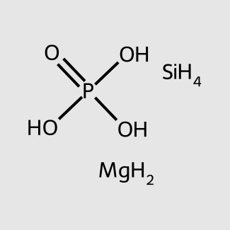 O=P(O)(O)O.[MgH2].[SiH4]